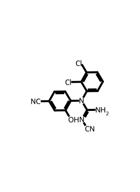 N#CN=C(N)N(c1ccc(C#N)cc1O)c1cccc(Cl)c1Cl